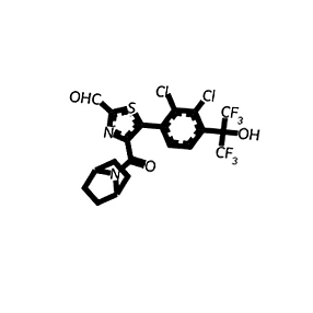 O=Cc1nc(C(=O)N2C3CCC2CC3)c(-c2ccc(C(O)(C(F)(F)F)C(F)(F)F)c(Cl)c2Cl)s1